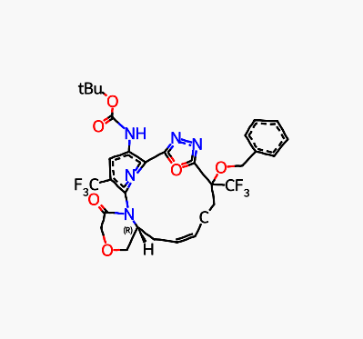 CC(C)(C)OC(=O)Nc1cc(C(F)(F)F)c2nc1-c1nnc(o1)C(OCc1ccccc1)(C(F)(F)F)CCC=CC[C@@H]1COCC(=O)N21